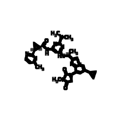 Cc1ccnc([C@H]2C[C@@H]2C(=O)Nc2cc(N[C@H](C)c3cn4cc(C5CC5)cc(N5CC(=O)N(C)C5=O)c4n3)nc(N(C)C)n2)n1